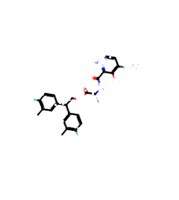 COc1cc[n+]([O-])c(C(=O)N[C@@H](C)C(=O)O[C@@H](C)C(c2ccc(F)c(C)c2)c2ccc(F)c(C)c2)c1O